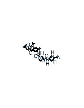 CC(C)n1c(=O)n(CC2CC2)c(=O)c2cc(NC(=O)N3CCO[C@@H](C(=O)NC4=CC(Cl)=C(C#N)NC4)C3)c(F)cc21